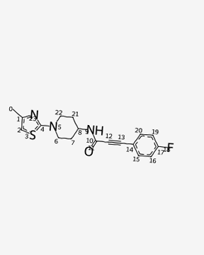 Cc1csc(N2CCC(NC(=O)C#Cc3ccc(F)cc3)CC2)n1